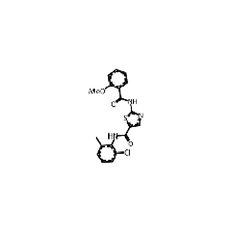 COc1ccccc1C(=O)Nc1ncc(C(=O)Nc2c(C)cccc2Cl)s1